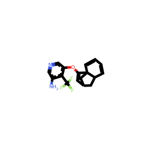 Nc1cncc(OC2=CC3CC4C=CC=CC24C3)c1C(F)(F)F